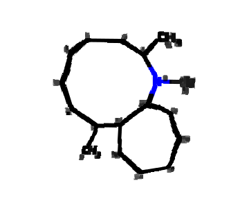 CC1CCCCCC(C)N(C(C)(C)C)C2CCCCCC12